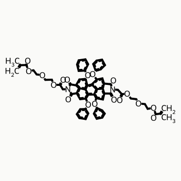 C=C(C)C(=O)OCCOCCOC(=O)CN1C(=O)c2cc(Oc3ccccc3)c3c4c(Oc5ccccc5)cc5c6c(cc(Oc7ccccc7)c(c7c(Oc8ccccc8)cc(c2c37)C1=O)c64)C(=O)N(CC(=O)OCCOCCOC(=O)C(=C)C)C5=O